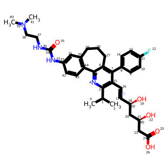 CC(C)c1nc2c(c(-c3ccc(F)cc3)c1/C=C/[C@@H](O)C[C@@H](O)CC(=O)O)CCCc1cc(NC(=O)NCCN(C)C)ccc1-2